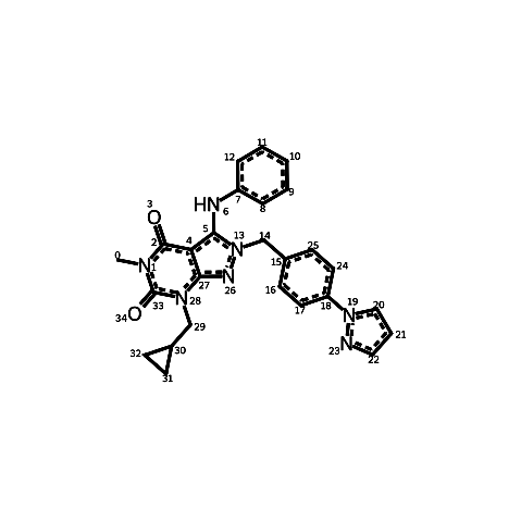 Cn1c(=O)c2c(Nc3ccccc3)n(Cc3ccc(-n4cccn4)cc3)nc2n(CC2CC2)c1=O